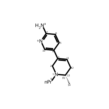 CCCN1CC(c2ccc(N)nc2)=CC[C@@H]1C